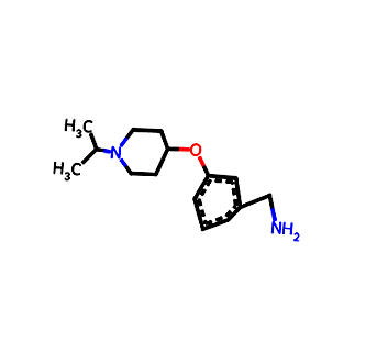 CC(C)N1CCC(Oc2cccc(CN)c2)CC1